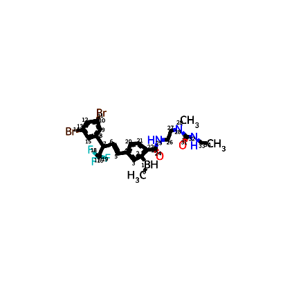 CBc1cc(/C=C/C(c2cc(Br)cc(Br)c2)C(F)(F)F)ccc1C(=O)NCCN(C)C(=O)NCC